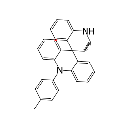 Cc1ccc(N2c3ccccc3C3(c4ccccc4Nc4ccccc43)c3ccccc32)cc1